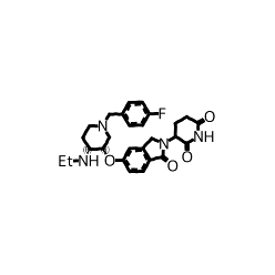 CCN[C@@H]1CCN(Cc2ccc(F)cc2)C[C@H]1Oc1ccc2c(c1)CN(C1CCC(=O)NC1=O)C2=O